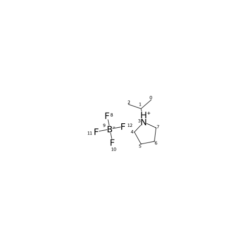 CC(C)[NH+]1CCCC1.F[B-](F)(F)F